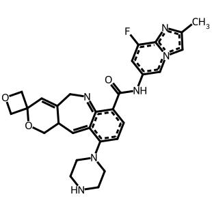 Cc1cn2cc(NC(=O)c3ccc(N4CCNCC4)c4c3=NCC3=CC5(COC5)OCC3C=4)cc(F)c2n1